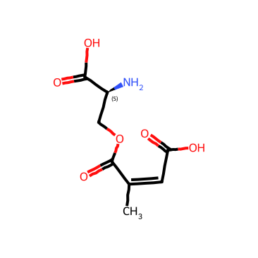 CC(=CC(=O)O)C(=O)OC[C@H](N)C(=O)O